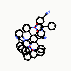 N#Cc1ccc2c(c1)c1ccccc1n2-c1ccccc1-c1c(C#N)c(-c2cccc(-c3ccccc3)n2)c(-c2ccccc2-n2c3ccccc3c3cc(C#N)ccc32)c(-n2c3ccccc3c3ccc4ccccc4c32)c1-n1c2ccccc2c2ccc3ccccc3c21